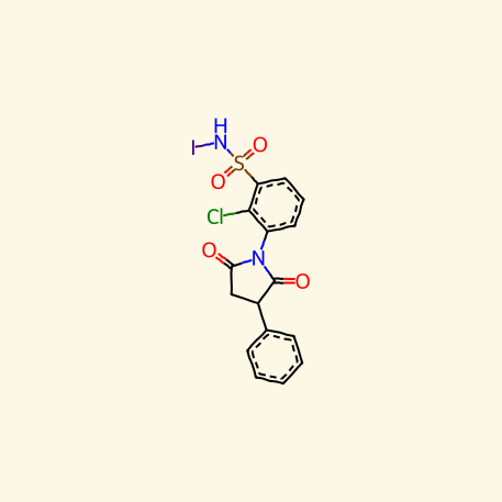 O=C1CC(c2ccccc2)C(=O)N1c1cccc(S(=O)(=O)NI)c1Cl